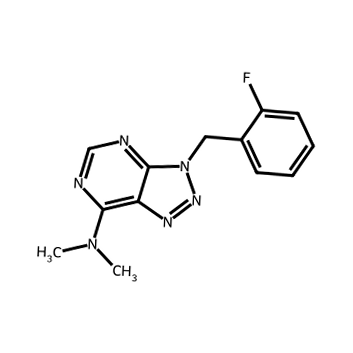 CN(C)c1ncnc2c1nnn2Cc1ccccc1F